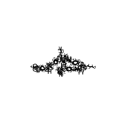 CCCCCCC(C)(Oc1ccc(/C=N/N(C)[PH](=S)C(C)(CCCC)Oc2ccc(/C=N/N(C)[PH](=S)C(C)(C)Oc3ccc(CP(=O)(OC)OC)cc3)cc2)cc1)[PH](=S)N(C)/N=C/c1ccc(OC(C)(CCCCC)N=[N+]=[N-])cc1